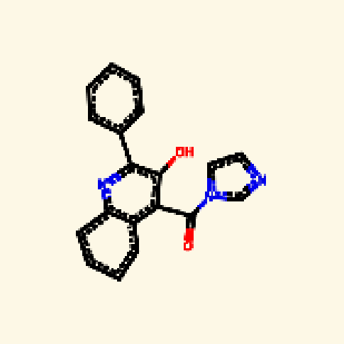 O=C(c1c(O)c(-c2ccccc2)nc2ccccc12)n1ccnc1